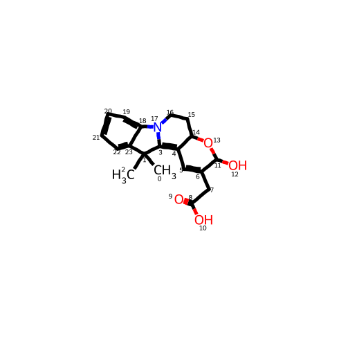 CC1(C)C2=C3C=C(CC(=O)O)C(O)OC3CCN2c2ccccc21